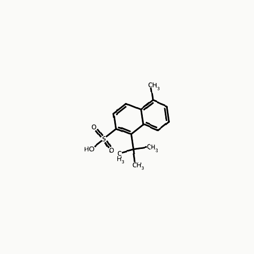 Cc1cccc2c(C(C)(C)C)c(S(=O)(=O)O)ccc12